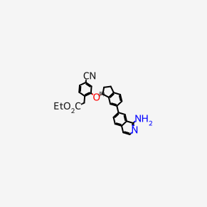 CCOC(=O)Cc1ccc(C#N)cc1O[C@@H]1CCc2ccc(-c3ccc4ccnc(N)c4c3)cc21